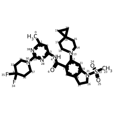 Cc1cc(NC(=O)c2cc3c(cc2N2CCC4(CC2)CC4)N(S(C)(=O)=O)CC3)nc(N2CCC(F)(F)CC2)n1